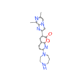 Cc1cn2cc(-c3cc4ccc(N5CCCNCC5)nc4oc3=O)nc2c(C)n1